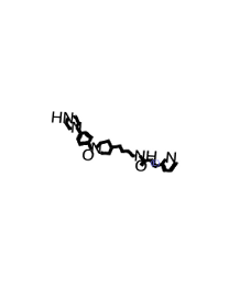 O=C(/C=C/c1cccnc1)NCCCCC1CCN(C(=O)c2ccc(N3CCNCC3)cc2)CC1